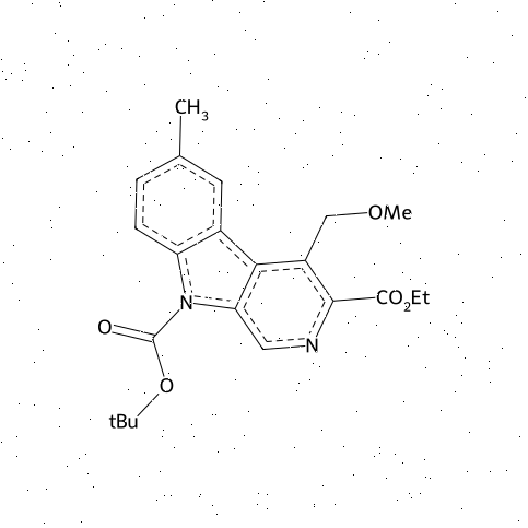 CCOC(=O)c1ncc2c(c1COC)c1cc(C)ccc1n2C(=O)OC(C)(C)C